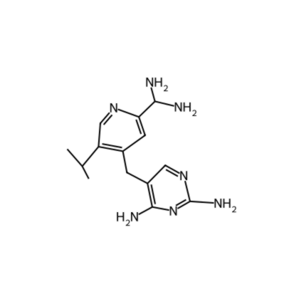 CC(C)c1cnc(C(N)N)cc1Cc1cnc(N)nc1N